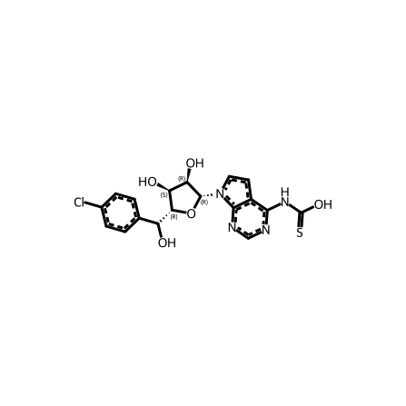 OC(=S)Nc1ncnc2c1ccn2[C@@H]1O[C@H](C(O)c2ccc(Cl)cc2)[C@@H](O)[C@H]1O